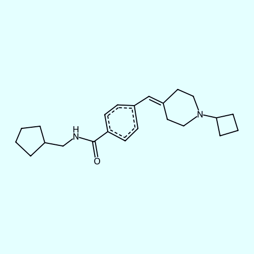 O=C(NCC1CCCC1)c1ccc(C=C2CCN(C3CCC3)CC2)cc1